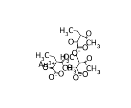 CCC(C(C)=O)C(=O)C(=O)[O-].CCC(C(C)=O)C(=O)C(=O)[O-].CCC(C(C)=O)C(=O)C(=O)[O-].[Au+3]